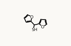 SC(c1ccco1)c1ccco1